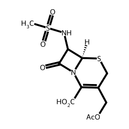 CC(=O)OCC1=C(C(=O)O)N2C(=O)C(NS(C)(=O)=O)[C@H]2SC1